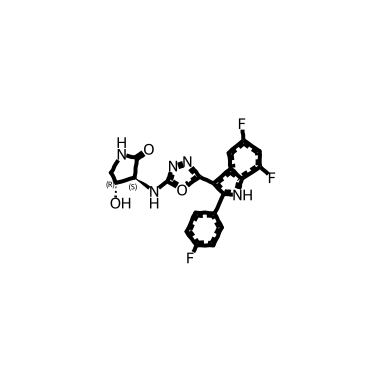 O=C1NC[C@@H](O)[C@@H]1Nc1nnc(-c2c(-c3ccc(F)cc3)[nH]c3c(F)cc(F)cc23)o1